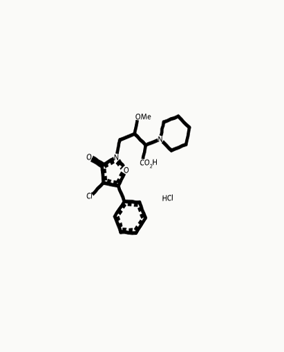 COC(Cn1oc(-c2ccccc2)c(Cl)c1=O)C(C(=O)O)N1CCCCC1.Cl